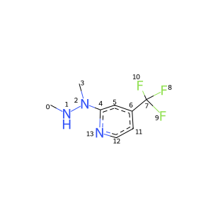 CNN(C)c1cc(C(F)(F)F)ccn1